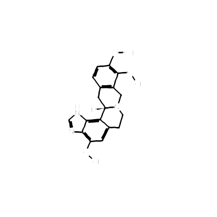 COc1ccc2c(c1OC)CN1CCc3cc(OC)c4nc[nH]c4c3[C@@H]1C2